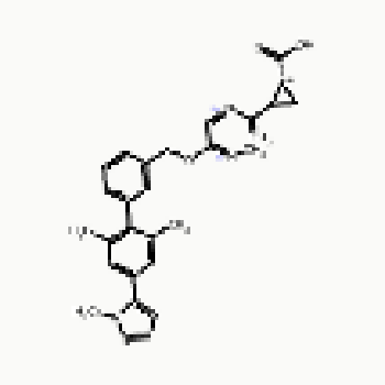 C=C(/N=C\C(=N/C)OCc1cccc(-c2c(C)cc(-c3ccnn3C)cc2C)c1)C1C[C@H]1C(=O)O